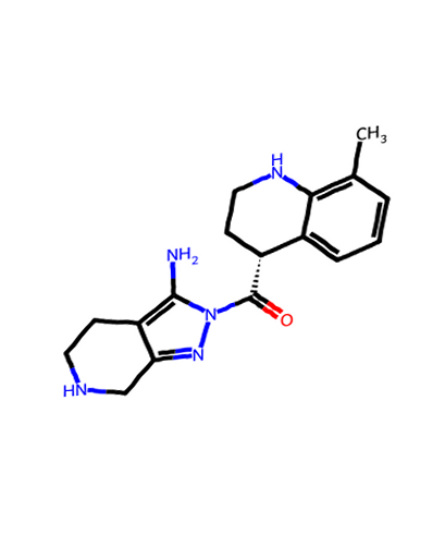 Cc1cccc2c1NCC[C@H]2C(=O)n1nc2c(c1N)CCNC2